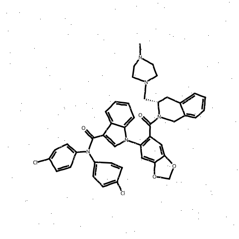 CN1CCN(C[C@@H]2Cc3ccccc3CN2C(=O)c2cc3c(cc2-n2cc(C(=O)N(c4ccc(Cl)cc4)c4ccc(Cl)cc4)c4ccccc42)OCO3)CC1